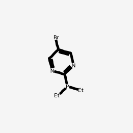 CCP(CC)c1ncc(Br)cn1